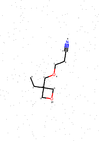 CCC1(COCCC#N)COC1